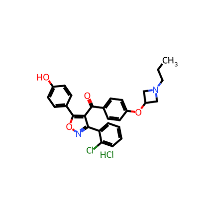 CCCN1CC(Oc2ccc(C(=O)c3c(-c4ccccc4Cl)noc3-c3ccc(O)cc3)cc2)C1.Cl